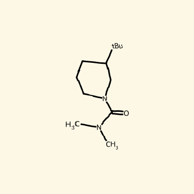 CN(C)C(=O)N1CCCC(C(C)(C)C)C1